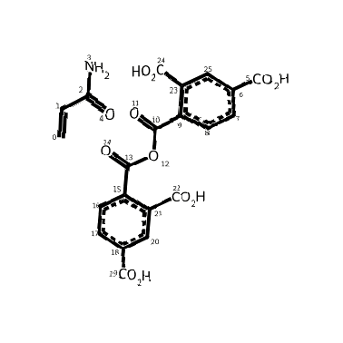 C=CC(N)=O.O=C(O)c1ccc(C(=O)OC(=O)c2ccc(C(=O)O)cc2C(=O)O)c(C(=O)O)c1